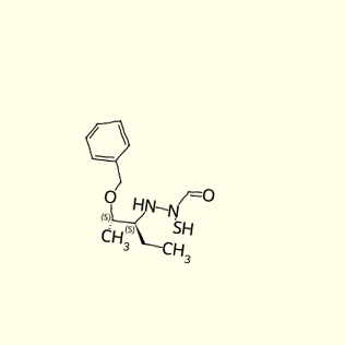 CC[C@H](NN(S)C=O)[C@H](C)OCc1ccccc1